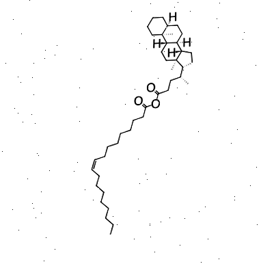 CCCCCCCC/C=C\CCCCCCCC(=O)OC(=O)CC[C@@H](C)[C@H]1CC[C@H]2[C@@H]3CC[C@@H]4CCCC[C@]4(C)[C@H]3CC[C@]12C